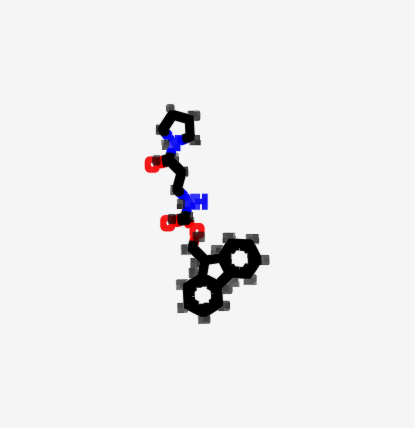 O=C(NCCC(=O)N1CCCC1)OCC1c2ccccc2-c2ccccc21